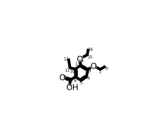 CCOc1ccc(C(=O)O)c(CC)c1OCC